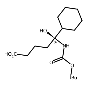 CC(C)(C)OC(=O)N[C@](O)(CCCC(=O)O)C1CCCCC1